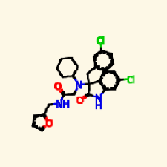 O=C(CN(C1CCCCC1)C1(Cc2cccc(Cl)c2)C(=O)Nc2cc(Cl)ccc21)NCc1ccco1